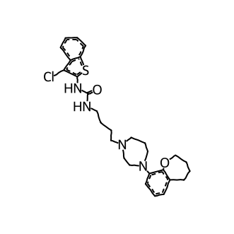 O=C(NCCCCN1CCCN(c2cccc3c2OCCCC3)CC1)Nc1sc2ccccc2c1Cl